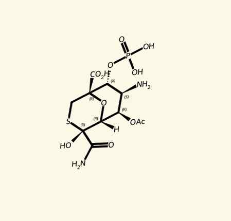 CC(=O)O[C@@H]1[C@H](N)[C@@H](OP(=O)(O)O)[C@@]2(C(=O)O)CS[C@@](O)(C(N)=O)[C@@H]1O2